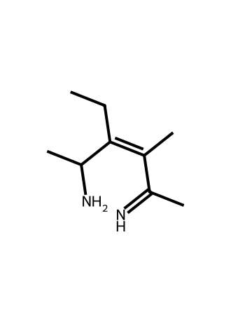 CC/C(=C(\C)C(C)=N)C(C)N